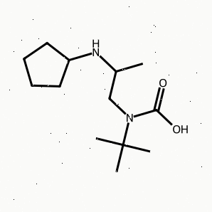 CC(CN(C(=O)O)C(C)(C)C)NC1CCCC1